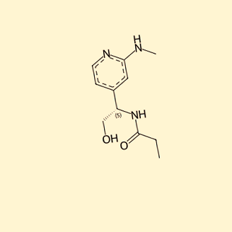 CCC(=O)N[C@H](CO)c1ccnc(NC)c1